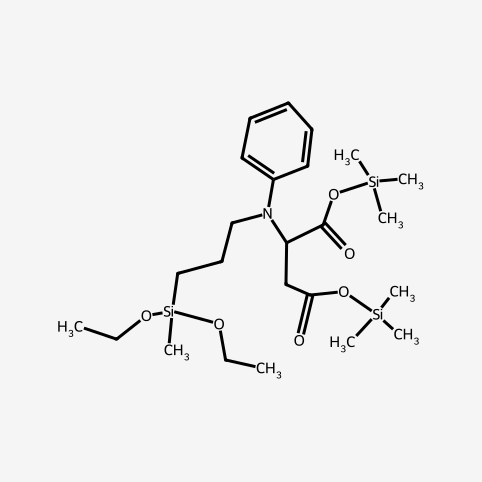 CCO[Si](C)(CCCN(c1ccccc1)C(CC(=O)O[Si](C)(C)C)C(=O)O[Si](C)(C)C)OCC